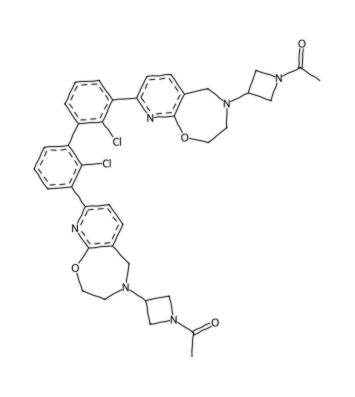 CC(=O)N1CC(N2CCOc3nc(-c4cccc(-c5cccc(-c6ccc7c(n6)OCCN(C6CN(C(C)=O)C6)C7)c5Cl)c4Cl)ccc3C2)C1